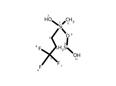 C[Si](O)(CCC(F)(F)F)O[SiH2]O